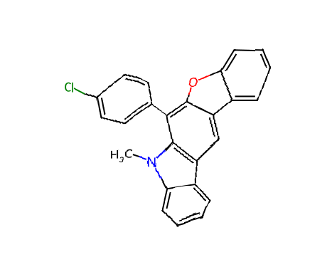 Cn1c2ccccc2c2cc3c(oc4ccccc43)c(-c3ccc(Cl)cc3)c21